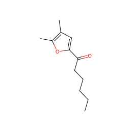 CCCCCC(=O)c1cc(C)c(C)o1